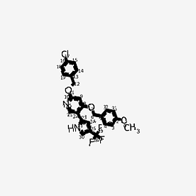 COc1ccc(COc2cc(OCc3ccc(Cl)cc3)ncc2-c2cc(C(F)(F)F)c[nH]2)cc1